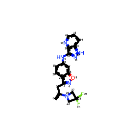 C=C(Cc1noc2cc(Nc3n[nH]c4cccnc34)ccc12)N1CC(F)(F)C1